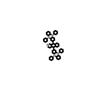 c1ccc(N2c3ccccc3N(c3ccccc3)c3cc(-c4c5ccccc5c(-c5ccc6c(c5)N(c5ccccc5)c5ccccc5N6c5ccccc5)c5cnccc45)ccc32)cc1